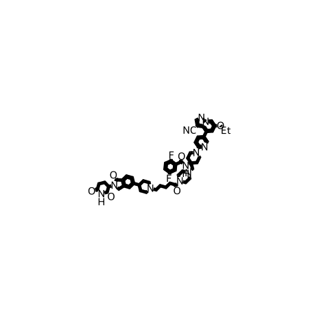 CCOc1cc(-c2ccc(N3CCC(CN4CCN(C(=O)CCCCN5CCC(c6ccc7c(c6)CN(C6CCC(=O)NC6=O)C7=O)CC5)CC4)(NC(=O)c4cc(F)ccc4F)CC3)nc2)c2c(C#N)cnn2c1